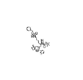 CC(C)(C)OC(=O)NC(CCCCNC(=O)OCc1ccccc1)CN(Cc1cccs1)C(=O)c1cccs1